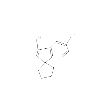 CC1=CC2(CCCC2)c2ccc(Br)cc21